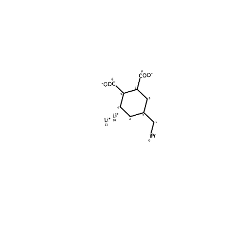 CC(C)CC1CCC(C(=O)[O-])C(C(=O)[O-])C1.[Li+].[Li+]